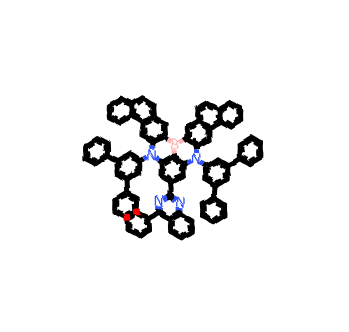 c1ccc(-c2cc(-c3ccccc3)cc(N3c4cc5c(ccc6ccccc65)cc4B4c5cc6ccc7ccccc7c6cc5N(c5cc(-c6ccccc6)cc(-c6ccccc6)c5)c5cc(-c6nc(-c7ccccc7)c7ccccc7n6)cc3c54)c2)cc1